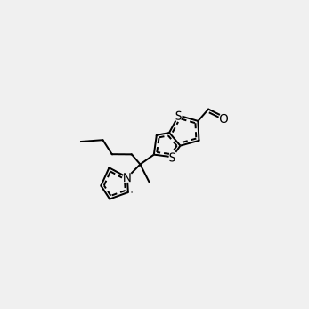 CCCCC(C)(c1cc2sc(C=O)cc2s1)n1[c]ccc1